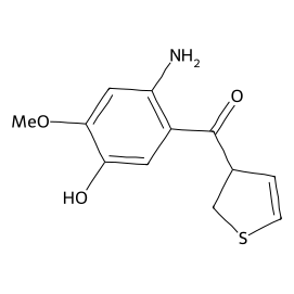 COc1cc(N)c(C(=O)C2C=CSC2)cc1O